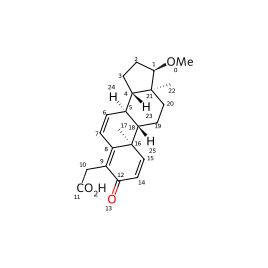 CO[C@@H]1CC[C@H]2[C@@H]3C=CC4=C(CC(=O)O)C(=O)C=C[C@]4(C)[C@H]3CC[C@]12C